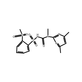 Cc1cc(C)nc(N(C)C(=O)NS(=O)(=O)c2ccccc2S(C)(=O)=O)n1